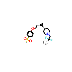 CS(=O)(=O)c1ccc(OCC[C@@H]2C[C@@H]2C2CCN(CC(F)(F)C(F)(F)F)CC2)cc1